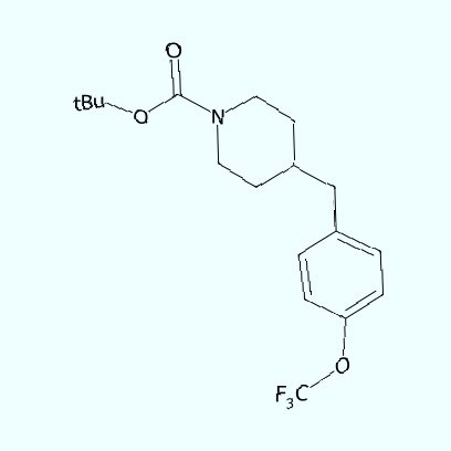 CC(C)(C)OC(=O)N1CCC(Cc2ccc(OC(F)(F)F)cc2)CC1